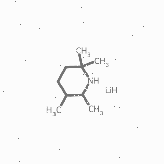 CC1CCC(C)(C)NC1C.[LiH]